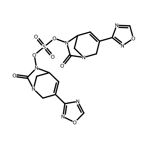 O=C1N2CC(c3ncon3)=CC(C2)N1OS(=O)(=O)ON1C(=O)N2CC(c3ncon3)=CC1C2